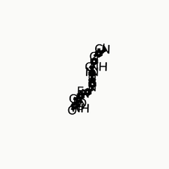 N#Cc1ccc(O[C@H]2CC[C@H](NC(=O)c3ncc(N4CC5(CCN(CC6CCN(c7cc8c(cc7F)C(=O)N(C7CCC(=O)NC7=O)C8=O)CC6)CC5)C4)cn3)CC2)cc1Cl